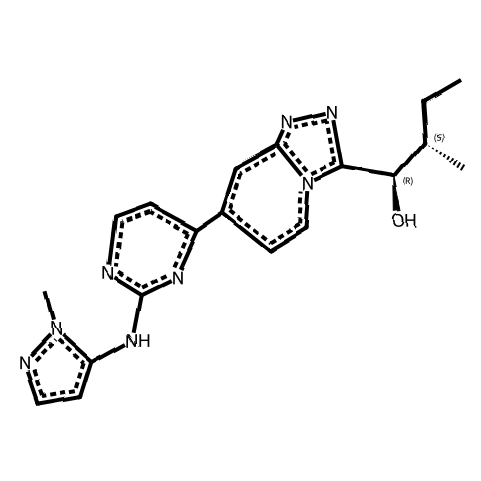 CC[C@H](C)[C@@H](O)c1nnc2cc(-c3ccnc(Nc4ccnn4C)n3)ccn12